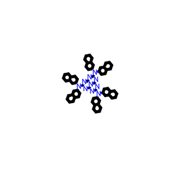 c1ccc2cc(N(C3=NC4=NC(N(c5ccc6ccccc6c5)c5ccc6ccccc6c5)=NC5=NC(N(c6ccc7ccccc7c6)c6ccc7ccccc7c6)=NC(=N3)N45)c3ccc4ccccc4c3)ccc2c1